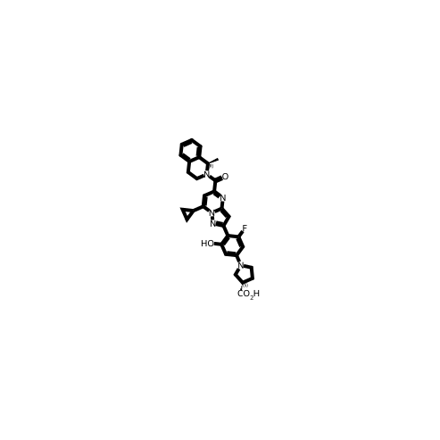 C[C@@H]1c2ccccc2CCN1C(=O)c1cc(C2CC2)n2nc(-c3c(O)cc(N4CC[C@H](C(=O)O)C4)cc3F)cc2n1